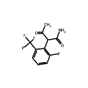 CC(=O)C(C(N)=O)c1c(F)cccc1C(F)(F)F